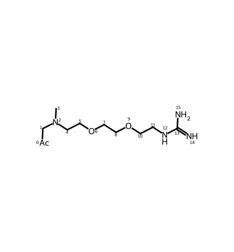 CC(=O)CN(C)CCOCCOCCNC(=N)N